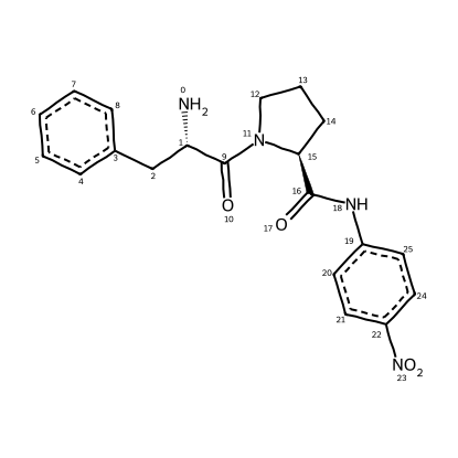 N[C@@H](Cc1ccccc1)C(=O)N1CCC[C@H]1C(=O)Nc1ccc([N+](=O)[O-])cc1